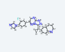 Fc1cc(-c2cnc3nnc(C4(c5ccc6ncccc6c5)CC4)n3n2)ccc1-n1ccnc1